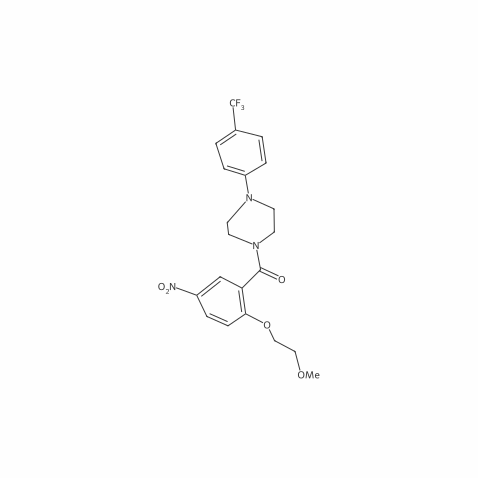 COCCOc1ccc([N+](=O)[O-])cc1C(=O)N1CCN(c2ccc(C(F)(F)F)cc2)CC1